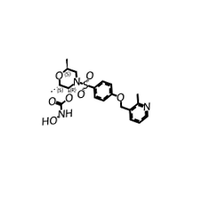 Cc1ncccc1COc1ccc(S(=O)(=O)N2C[C@H](C)O[C@@H](C)[C@H]2OC(=O)NO)cc1